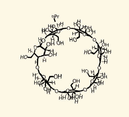 CCCC.OC[C@H]1O[C@@H]2O[C@H]3[C@H](O)[C@@H](O)[C@@H](O[C@H]4[C@H](O)[C@@H](O)[C@@H](O[C@H]5[C@H](O)[C@@H](O)[C@@H](O[C@H]6[C@H](O)[C@@H](O)[C@@H](O[C@H]7[C@H](O)[C@@H](O)[C@@H](O[C@H]8[C@H](O)[C@@H](O)[C@@H](O[C@H]1[C@H](O)[C@H]2O)O[C@@H]8CO)O[C@@H]7CO)O[C@@H]6CO)O[C@@H]5CO)O[C@@H]4CO)O[C@@H]3CO